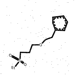 CCS(=O)(=O)CCCOCCc1ccccc1